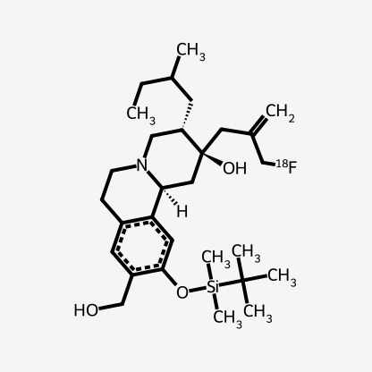 C=C(C[18F])C[C@]1(O)C[C@H]2c3cc(O[Si](C)(C)C(C)(C)C)c(CO)cc3CCN2C[C@@H]1CC(C)CC